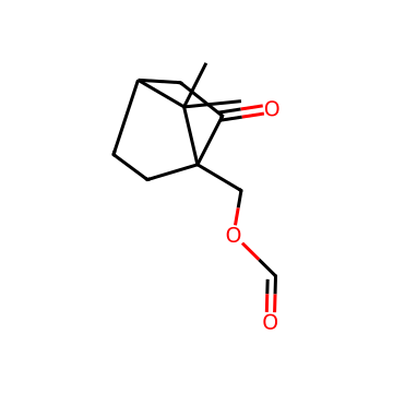 CC1(C)C2CCC1(COC=O)C(=O)C2